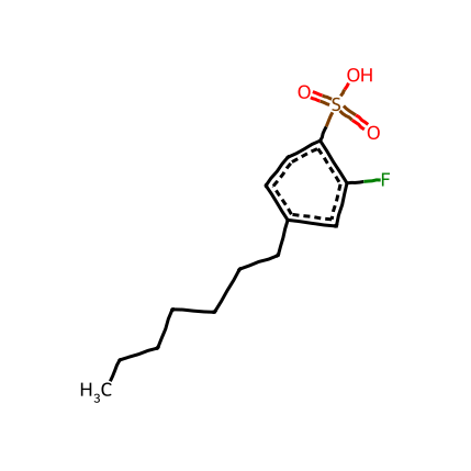 CCCCCCCc1ccc(S(=O)(=O)O)c(F)c1